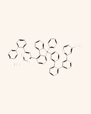 Cc1ccnc(-c2cccc(-c3ccccc3-c3cccc(C4(c5ccccc5)c5ccccc5-c5c(-c6cc(-c7ccccc7-c7ccccc7)nc(C)n6)cccc54)c3)c2)c1